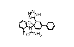 NC(=O)N(c1ccccc1F)C1(Cl)C=CC(c2ccccc2)=CC1c1nnn[nH]1